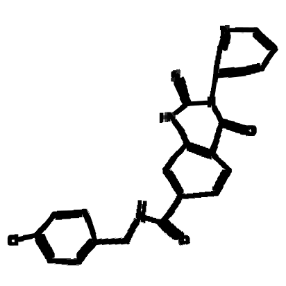 O=C(NCc1ccc(Cl)cc1)c1ccc2c(=O)n(-c3cccnc3)c(=S)[nH]c2c1